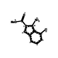 COC(=O)n1nc2cccc(Cl)c2c1N